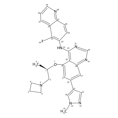 C[C@H](CN1CCC1)Oc1cc(-c2cnn(C)c2)cc2ncnc(Nc3ccc4ncccc4c3F)c12